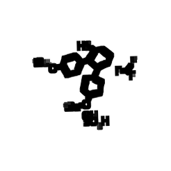 CC(C)(C)Oc1ccc(-c2cccc(S)c2-c2ccc(OC(C)(C)C)cc2)cc1.FC(F)F.O=S(=O)(O)O